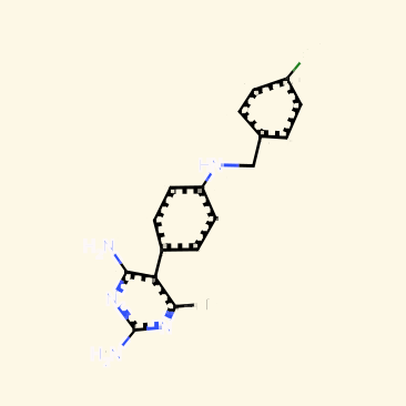 CCCc1nc(N)nc(N)c1-c1ccc(NCc2ccc(Cl)cc2)cc1